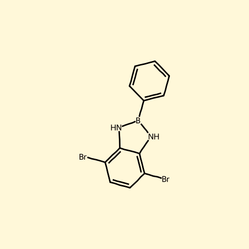 Brc1ccc(Br)c2c1NB(c1ccccc1)N2